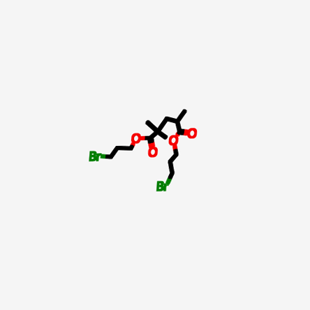 CC(CC(C)(C)C(=O)OCCCBr)C(=O)OCCCBr